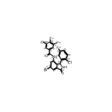 O=C(Nc1cc(Br)cc2c1C(c1cc(F)ccc1Cl)NC2=O)c1cc(F)c(F)c(Cl)c1